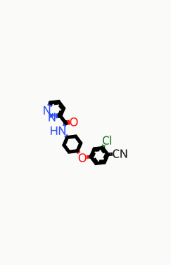 N#Cc1ccc(OC2CCC(NC(=O)c3cccnn3)CC2)cc1Cl